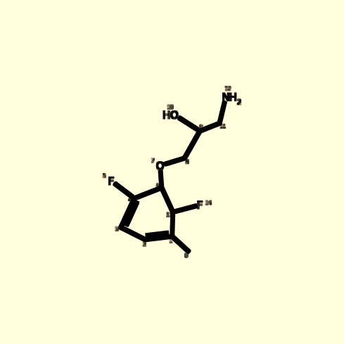 CC1=CC=C(F)C(OCC(O)CN)C1F